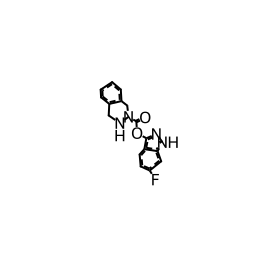 O=C(Oc1n[nH]c2cc(F)ccc12)N1Cc2ccccc2CN1